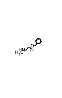 CNCCC(=O)OCc1ccccc1